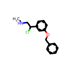 CNCC(Cl)c1cccc(OCc2ccccc2)c1